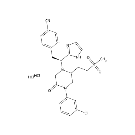 CS(=O)(=O)CCC1CN(c2cccc(Cl)c2)C(=O)CN1[C@@H](Cc1ccc(C#N)cc1)c1ncc[nH]1.Cl.Cl